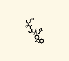 C=C/C(=C\C=C(/C)C(=O)N(CC)CCO)N1C[C@]2(CC[C@](c3ccccc3)(N(C)C)CC2)N(CC2CCC2)C1=O